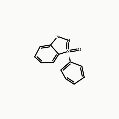 O=[S@]1(c2ccccc2)=NSc2ccccc21